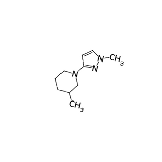 CC1CCCN(c2ccn(C)n2)C1